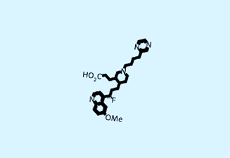 COc1ccc2nccc([C@@H](F)CCC3CCN(CCCCc4cnccn4)CC3CCC(=O)O)c2c1